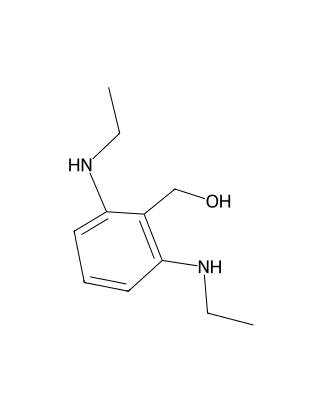 CCNc1cccc(NCC)c1CO